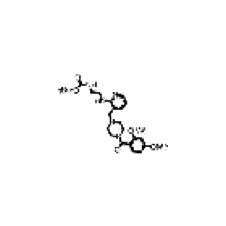 COc1ccc(C(=O)N2CCN(Cc3cccnc3NCCNC(=O)OC(C)(C)C)CC2)c(OC)c1